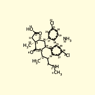 CNCC[C@H](C)N1C(=O)[C@@](C)(CC(=O)O)C[C@H](c2cccc(Cl)c2)[C@H]1c1ccc(Cl)cc1.N